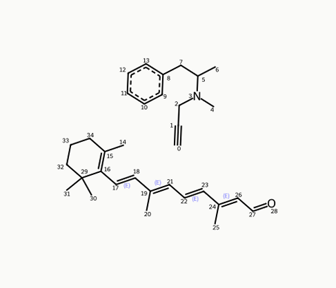 C#CCN(C)C(C)Cc1ccccc1.CC1=C(/C=C/C(C)=C/C=C/C(C)=C/C=O)C(C)(C)CCC1